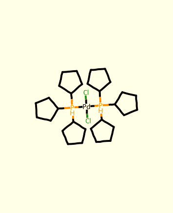 [Cl][Pd]([Cl])([PH](C1CCCC1)(C1CCCC1)C1CCCC1)[PH](C1CCCC1)(C1CCCC1)C1CCCC1